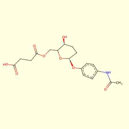 CC(=O)Nc1ccc(O[C@@H]2CC[C@H](O)C(COC(=O)CCC(=O)O)O2)cc1